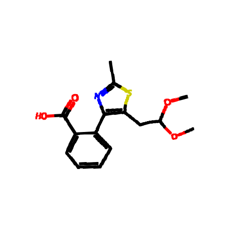 COC(Cc1sc(C)nc1-c1ccccc1C(=O)O)OC